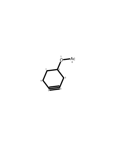 CC(=O)OC1CC#CCC1